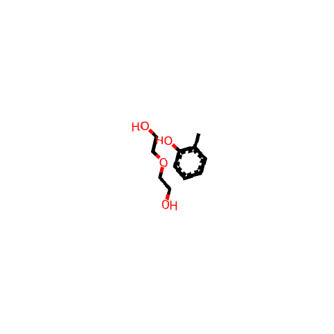 Cc1ccccc1O.OCCOCCO